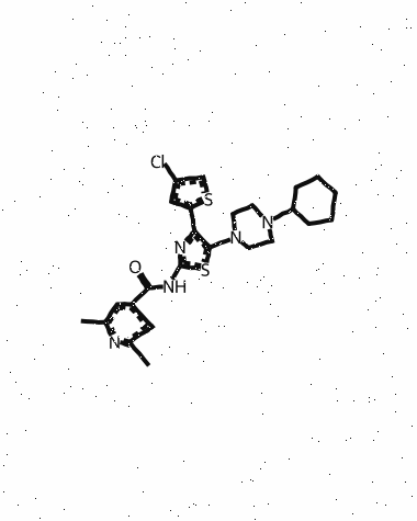 Cc1cc(C(=O)Nc2nc(-c3cc(Cl)cs3)c(N3CCN(C4CCCCC4)CC3)s2)cc(C)n1